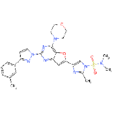 Cc1cccc(-c2ccn(-c3nc(N4CCOCC4)c4oc(-c5cn(S(=O)(=O)N(C)C)c(C)n5)cc4n3)n2)c1